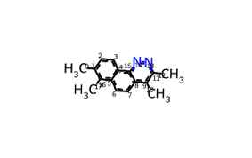 Cc1ccc2c(ccc3c(C)c(C)nnc32)c1C